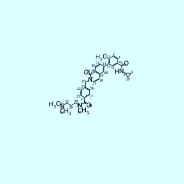 Cc1ccc(C(=O)NC2CC2)cc1-c1ccc2c(=O)n(Cc3ccc(C(=O)N(C)CCCN(C)C)cc3)ccc2c1